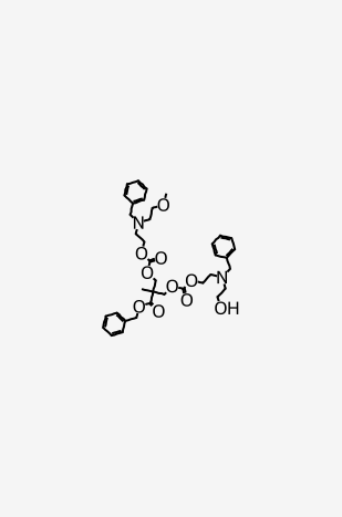 COCCN(CCOC(=O)OCC(C)(COC(=O)OCCN(CCO)Cc1ccccc1)C(=O)OCc1ccccc1)Cc1ccccc1